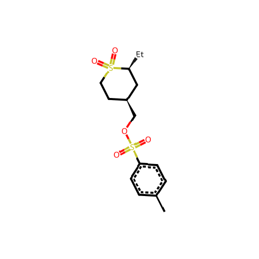 CC[C@H]1C[C@@H](COS(=O)(=O)c2ccc(C)cc2)CCS1(=O)=O